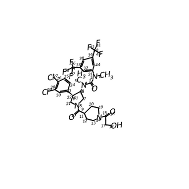 CN(C(=O)N(C)[C@@H]1CN(C(=O)C2CCN(C(=O)CO)CC2)C[C@H]1c1ccc(Cl)c(Cl)c1)c1cc(C(F)(F)F)cc(C(F)(F)F)c1